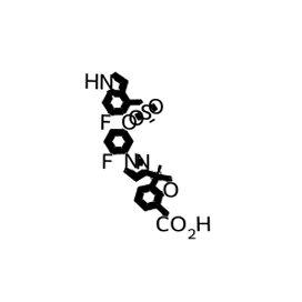 C[C@@]1(c2ccn(-c3cc(Oc4c(F)cc5[nH]ccc5c4CS(C)(=O)=O)ccc3F)n2)COc2c(CC(=O)O)cccc21